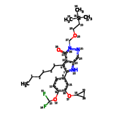 CCCCCCc1c(-c2ccc(OC(F)F)c(OC3CC3)c2)[nH]c2cnn(COCC[Si](C)(C)C)c(=O)c12